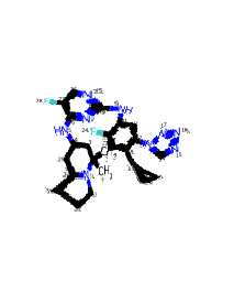 CC1(C)CC(Nc2nc(Nc3cc(-n4cnnn4)c(C4CC4)cc3F)ncc2F)CC2CCCN21